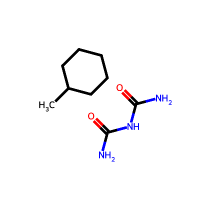 CC1CCCCC1.NC(=O)NC(N)=O